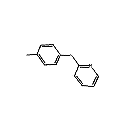 Cc1ccc(Sc2[c]cccn2)cc1